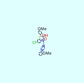 COc1ccc([C@@H]2Sc3cc(Cl)ccc3N(CCCN3CCN(c4ccccc4OC)CC3)C(=O)[C@@H]2O)cc1